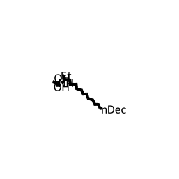 CCCCCCCCCCCCCCCCCCCCCCC(CC)NC(C)(O)O